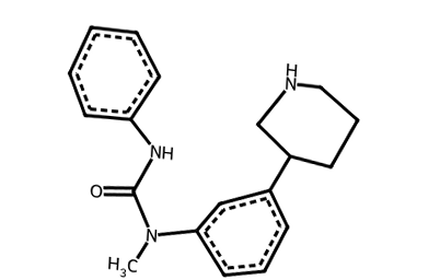 CN(C(=O)Nc1ccccc1)c1cccc(C2CCCNC2)c1